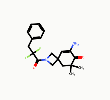 CC1(C)CC2(C=C(N)C1=O)CN(C(=O)C(F)(F)Cc1ccccc1)C2